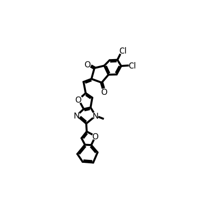 Cn1c(-c2cc3ccccc3o2)nc2oc(C=C3C(=O)c4cc(Cl)c(Cl)cc4C3=O)cc21